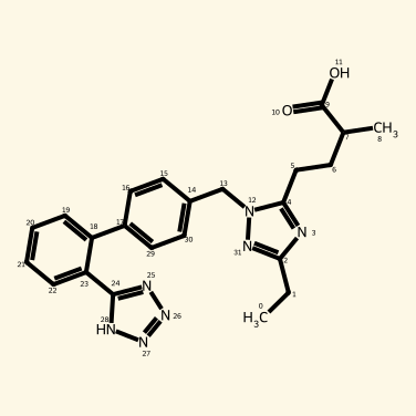 CCc1nc(CCC(C)C(=O)O)n(Cc2ccc(-c3ccccc3-c3nnn[nH]3)cc2)n1